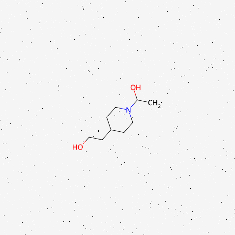 [CH2]C(O)N1CCC(CCO)CC1